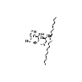 CCCCCCCCOCCCCCCCC.O=C(O)CS.O=C(O)CS.OCCO